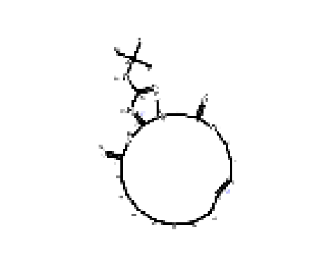 CN1CC(=O)OCC/C=C/CCCCCCCC(=O)N/C1=N/C(=O)OC(C)(C)C